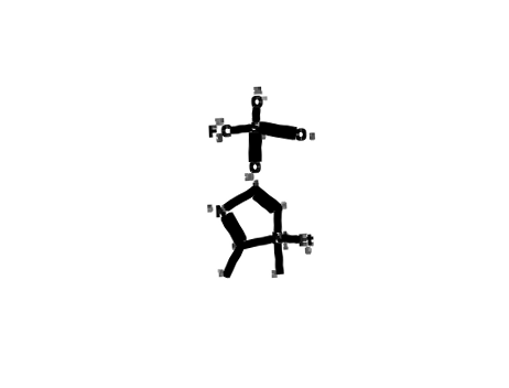 CC[N+]1(C)C=CN=C1C.O=S(=O)([O-])C(F)(F)F